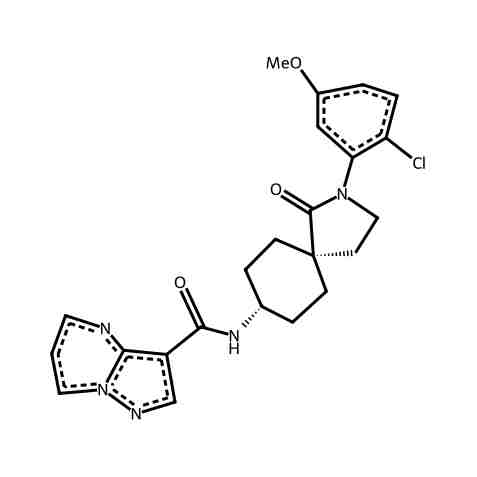 COc1ccc(Cl)c(N2CC[C@]3(CC[C@@H](NC(=O)c4cnn5cccnc45)CC3)C2=O)c1